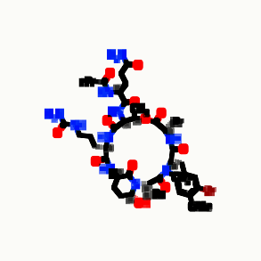 CCCC(=O)N[C@@H](CCC(N)=O)C(=O)N[C@@H]1C(=O)N[C@@H](CCCNC(N)=O)C(=O)N[C@H]2CC[C@@H](O)N(C2=O)[C@@H]([C@@H](C)CC)C(=O)N(C)[C@@H](Cc2ccc(OC)c(Br)c2)C(=O)N[C@@H](C(C)C)C(=O)O[C@@H]1C